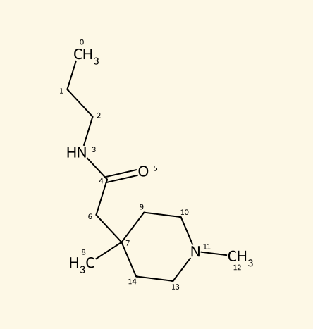 CCCNC(=O)CC1(C)CCN(C)CC1